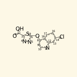 O=C(O)c1nnc(Oc2ccnc3cc(Cl)ccc23)s1